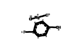 Oc1ccc(F)cc1.[Cl][Mg][Cl]